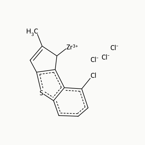 CC1=Cc2sc3cccc(Cl)c3c2[CH]1[Zr+3].[Cl-].[Cl-].[Cl-]